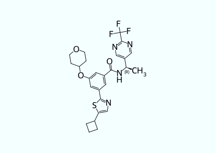 C[C@@H](NC(=O)c1cc(OC2CCOCC2)cc(-c2ncc(C3CCC3)s2)c1)c1cnc(C(F)(F)F)nc1